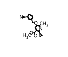 COC(=O)c1cc(OCc2cccc(C#N)c2)c(C)nc1C1CC1